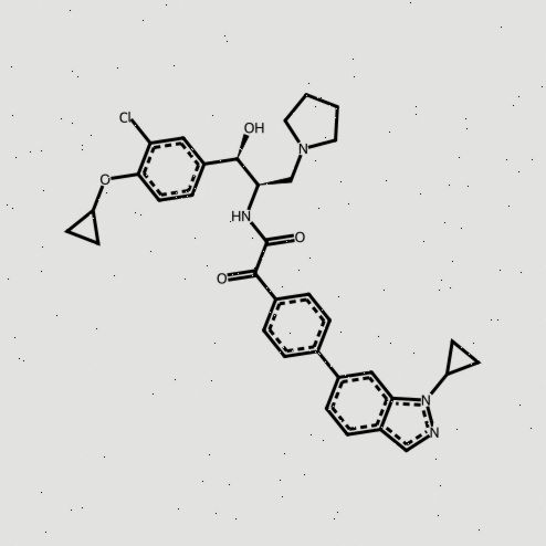 O=C(N[C@H](CN1CCCC1)[C@H](O)c1ccc(OC2CC2)c(Cl)c1)C(=O)c1ccc(-c2ccc3cnn(C4CC4)c3c2)cc1